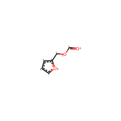 O=[C]OCc1ccco1